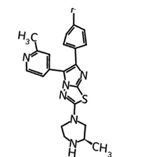 Cc1cc(-c2c(-c3ccc(F)cc3)nc3sc(N4CCN[C@H](C)C4)nn23)ccn1